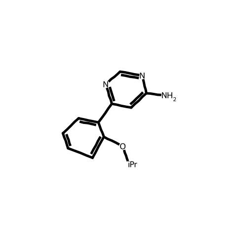 CC(C)Oc1ccccc1-c1cc(N)ncn1